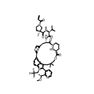 C=CC(=O)N1CC[C@](F)(C(=O)N(C)[C@H](C(=O)N[C@H]2Cc3csc(n3)-c3ccc4c(c3)c(c(-c3cccnc3[C@H](C)OC)n4CC(F)(F)F)CC(C)(C)COC(=O)[C@@H]3CCCN(N3)C2=O)C(C)C)C1